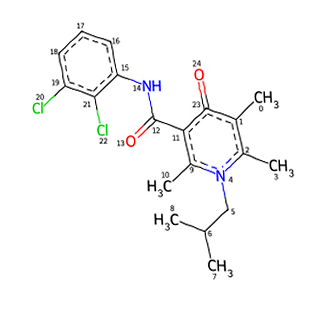 Cc1c(C)n(CC(C)C)c(C)c(C(=O)Nc2cccc(Cl)c2Cl)c1=O